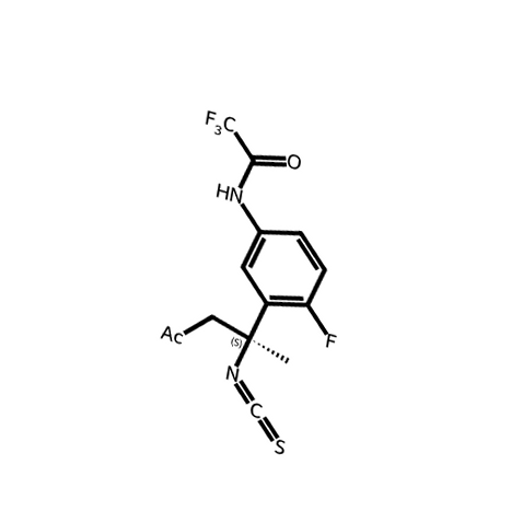 CC(=O)C[C@](C)(N=C=S)c1cc(NC(=O)C(F)(F)F)ccc1F